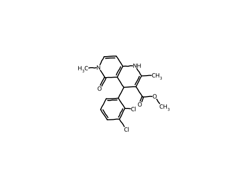 COC(=O)C1=C(C)Nc2ccn(C)c(=O)c2C1c1cccc(Cl)c1Cl